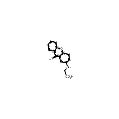 O=C(O)COc1ccc2oc3ccccc3c(=S)c2c1